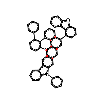 c1ccc(-c2ccccc2-c2c(-c3ccccc3)cccc2N(c2ccc(-c3cccc4oc5ccccc5c34)cc2)c2ccc3c(c2)c2ccccc2n3-c2ccccc2)cc1